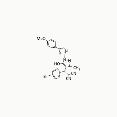 COc1ccc(-c2cnc(-n3nc(C)c(C(c4ccc(Br)cc4)C(C#N)C#N)c3O)s2)cc1